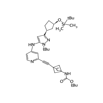 CC(C)(C)OC(=O)NC12CC(C#Cc3cc(Nc4cc([C@H]5CC[C@@H](O[Si](C)(C)C(C)(C)C)C5)nn4C(C)(C)C)ccn3)(C1)C2